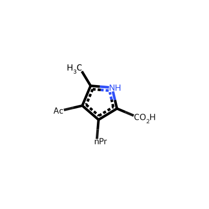 CCCc1c(C(=O)O)[nH]c(C)c1C(C)=O